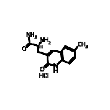 Cc1ccc2[nH]c(=O)c(C[C@H](N)C(N)=O)cc2c1.Cl